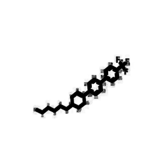 CCCCCCC1CC=C(c2ccc(-c3ccc(C(F)(F)F)cc3)cc2)CC1